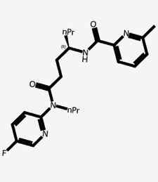 CCC[C@H](CCC(=O)N(CCC)c1ccc(F)cn1)NC(=O)c1cccc(C)n1